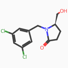 O=C1CC[C@H](CO)N1Cc1cc(Cl)cc(Cl)c1